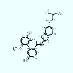 COc1ccc(Cl)c(F)c1-c1cc(C)ncc1C(=O)Nc1nc2cnc(SCC(C)O)nc2s1